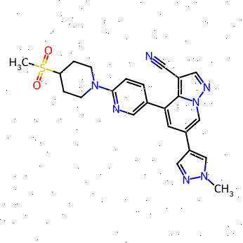 Cn1cc(-c2cc(-c3ccc(N4CCC(S(C)(=O)=O)CC4)nc3)c3c(C#N)cnn3c2)cn1